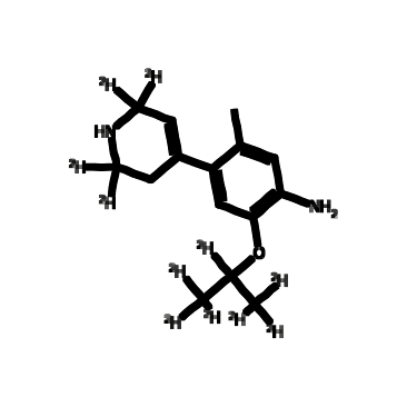 [2H]C1([2H])C=C(c2cc(OC([2H])(C([2H])([2H])[2H])C([2H])([2H])[2H])c(N)cc2C)CC([2H])([2H])N1